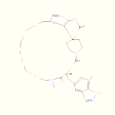 Cc1cc(C[C@H]2OC(=O)N3CCC4(CC3)OC(=O)Nc3ncc(cc34)CCCOCCOCCOCCN(C)C2=O)cc2cn[nH]c12